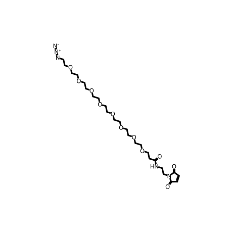 [N-]=[N+]=NCCOCCOCCOCCOCCOCCOCCOCCOCCC(=O)NCCN1C(=O)C=CC1=O